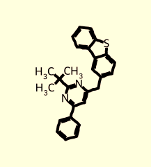 CC(C)(C)c1nc(Cc2ccc3sc4ccccc4c3c2)cc(-c2ccccc2)n1